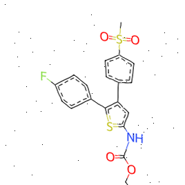 CCOC(=O)Nc1cc(-c2ccc(S(C)(=O)=O)cc2)c(-c2ccc(F)cc2)s1